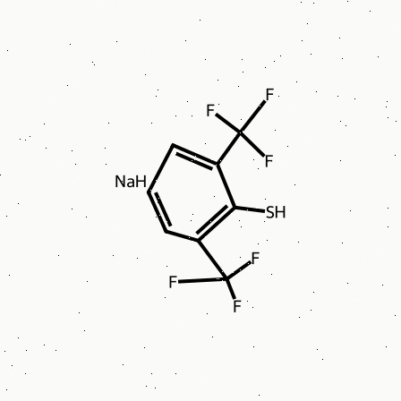 FC(F)(F)c1cccc(C(F)(F)F)c1S.[NaH]